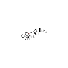 CCNc1cccn2c(C#Cc3cccc(C4(c5ccccc5)CCON4C(N)=O)c3)cnc12